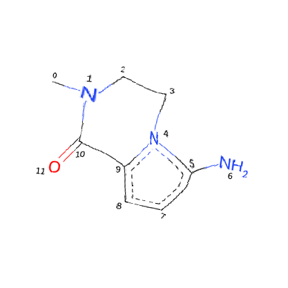 CN1CCn2c(N)ccc2C1=O